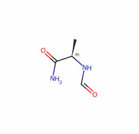 C[C@@H](NC=O)C(N)=O